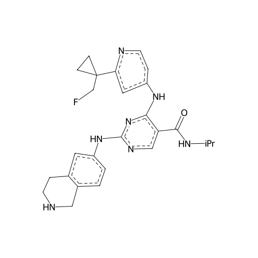 CC(C)NC(=O)c1cnc(Nc2ccc3c(c2)CCNC3)nc1Nc1ccnc(C2(CF)CC2)c1